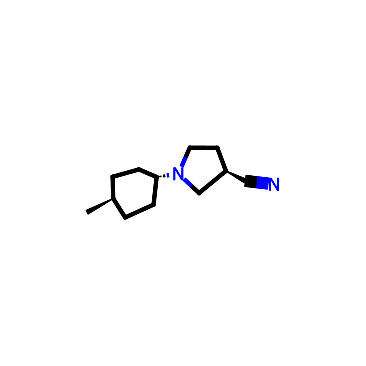 C[C@H]1CC[C@H](N2CC[C@@H](C#N)C2)CC1